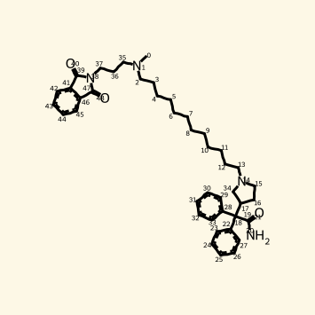 CN(CCCCCCCCCCCCN1CCC(C(C(N)=O)(c2ccccc2)c2ccccc2)C1)CCCN1C(=O)c2ccccc2C1=O